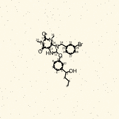 CCCC(O)c1cccc(OC2Nc3c(n(C)c(=O)n(C)c3=O)N2Cc2cccc(Br)c2)c1